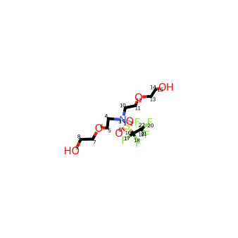 O=S(=O)(N(CCOCCO)CCOCCO)C(F)(F)C(F)(F)F